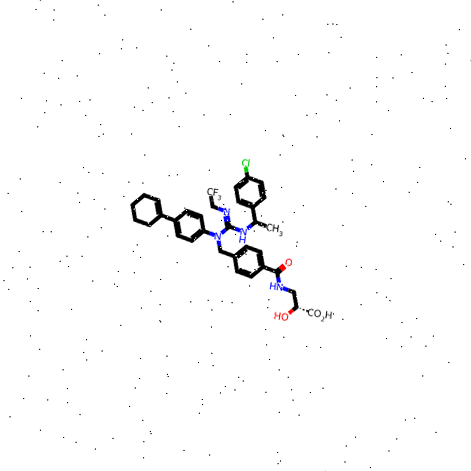 CC(N/C(=N/CC(F)(F)F)N(Cc1ccc(C(=O)NC[C@@H](O)C(=O)O)cc1)c1ccc(C2=CCCCC2)cc1)c1ccc(Cl)cc1